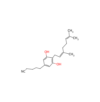 CC(C)=CCCC(C)=CCc1c(O)cc(CCCCC#N)cc1O